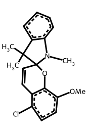 COc1ccc(Cl)c2c1OC1(C=C2)N(C)c2ccccc2C1(C)C